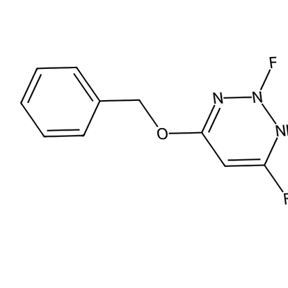 FC1=CC(OCc2ccccc2)=NN(F)N1